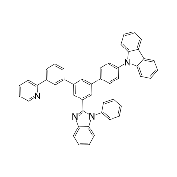 c1ccc(-n2c(-c3cc(-c4ccc(-n5c6ccccc6c6ccccc65)cc4)cc(-c4cccc(-c5ccccn5)c4)c3)nc3ccccc32)cc1